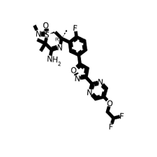 CN=[S@]1(=O)C[C@@](C)(c2cc(-c3cc(-c4ncc(OCC(F)F)cn4)no3)ccc2F)N=C(N)C1(C)C